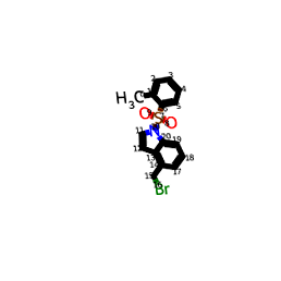 Cc1ccccc1S(=O)(=O)n1ccc2c(CBr)cccc21